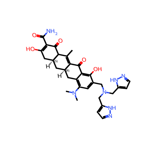 CC1=C2C(=O)c3c(O)c(CN(Cc4ccn[nH]4)Cc4ccn[nH]4)cc(N(C)C)c3C[C@H]2C[C@H]2CC(O)=C(C(N)=O)C(=O)C12